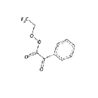 O=C(OOCC(F)(F)F)C(=O)c1ccccc1